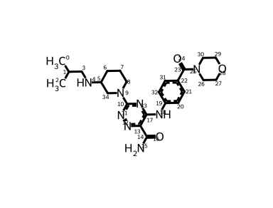 CC(C)CNC1CCCN(c2nnc(C(N)=O)c(Nc3ccc(C(=O)N4CCOCC4)cc3)n2)C1